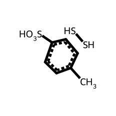 Cc1ccc(S(=O)(=O)O)cc1.SS